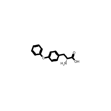 N[C@H](Cc1ccc(Oc2ccccc2)cc1)C(=O)O